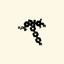 CCOc1c(F)cc(S(=O)(=O)c2cnc3ccc([S+](C)[O-])cc3c2N2CCC(N3CCC(N4CCN(CC)CC4)CC3)CC2)cc1F